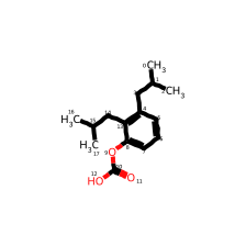 CC(C)Cc1cccc(OC(=O)O)c1CC(C)C